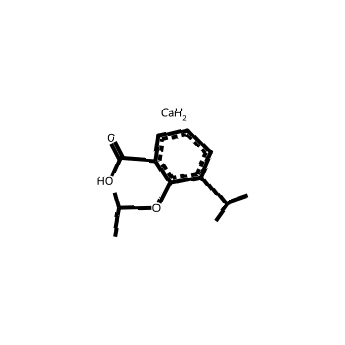 CC(C)Oc1c(C(=O)O)cccc1C(C)C.[CaH2]